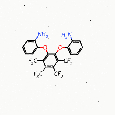 Nc1ccccc1Oc1c(Oc2ccccc2N)c(C(F)(F)F)c(C(F)(F)F)c(C(F)(F)F)c1C(F)(F)F